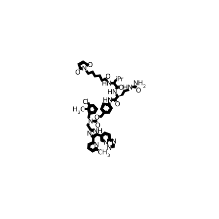 Cc1cccc(-c2nc(CN(Cc3cccc(Cl)c3C)C(=O)OCc3ccc(NC(=O)[C@H](CCCNC(N)=O)NC(=O)C(NC(=O)CCCCCN4C(=O)C=CC4=O)C(C)C)cc3)[nH]c2-c2ccc3ncnn3c2)n1